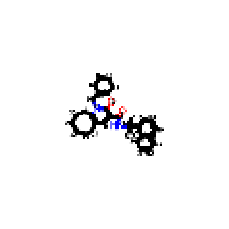 CC(NC(=O)c1cc2c(n(CC3CCCCC3)c1=O)CCCCCC2)(C(=O)O)c1cccc2ccccc12